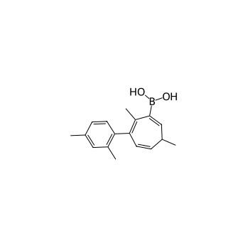 CC1=C(c2ccc(C)cc2C)C=CC(C)C=C1B(O)O